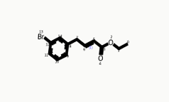 CCOC(=O)/C=C/Cc1cccc(Br)c1